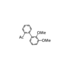 COc1cccc(-c2ccccc2C(C)=O)c1OC